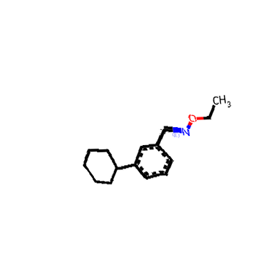 CCO/N=[C]/c1cccc(C2CCCCC2)c1